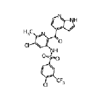 Cc1nc(C(=O)c2ccnc3[nH]ccc23)c(NS(=O)(=O)c2ccc(Cl)c(C(F)(F)F)c2)cc1Cl